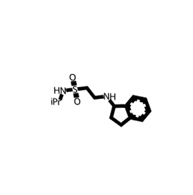 CC(C)NS(=O)(=O)CCNC1CCc2ccccc21